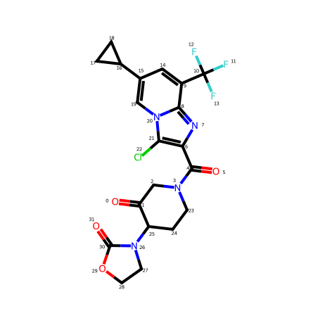 O=C1CN(C(=O)c2nc3c(C(F)(F)F)cc(C4CC4)cn3c2Cl)CCC1N1CCOC1=O